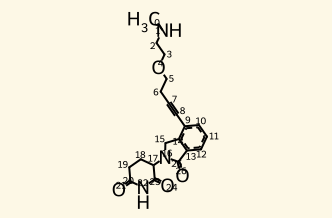 CNCCOCCC#Cc1cccc2c1CN(C1CCC(=O)NC1=O)C2=O